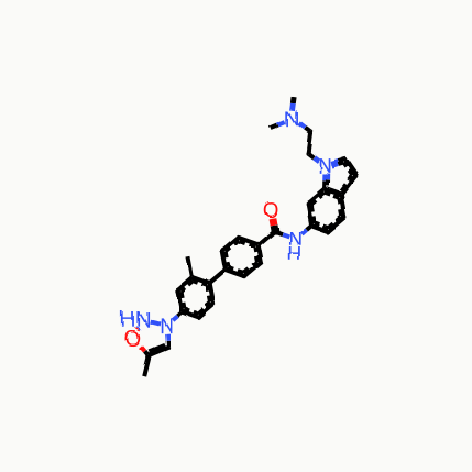 CC1=CN(c2ccc(-c3ccc(C(=O)Nc4ccc5ccn(CCN(C)C)c5c4)cc3)c(C)c2)NO1